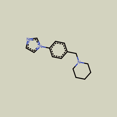 c1cn(-c2ccc(CN3CCCCC3)cc2)cn1